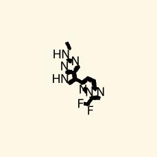 CCNc1ncc2c(-c3ccc4ncc(C(F)F)n4n3)c[nH]c2n1